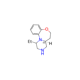 CCC1CNC[C@@H]2CCOc3ccccc3N12